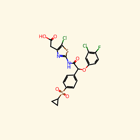 O=C(O)Cc1nc(NC(=O)C(Oc2ccc(F)c(Cl)c2)c2ccc(S(=O)(=O)C3CC3)cc2)sc1Cl